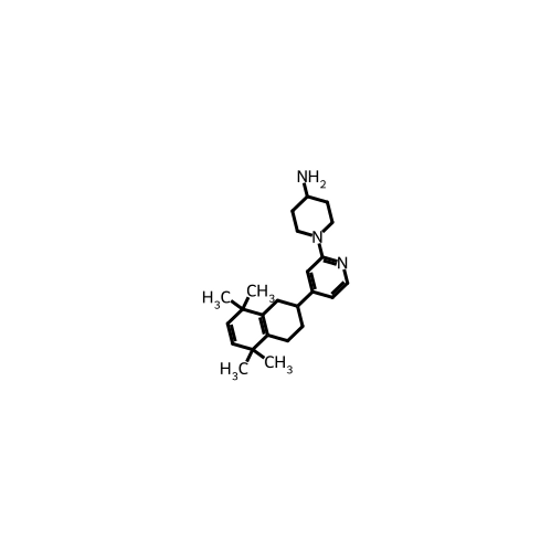 CC1(C)C=CC(C)(C)C2=C1CCC(c1ccnc(N3CCC(N)CC3)c1)C2